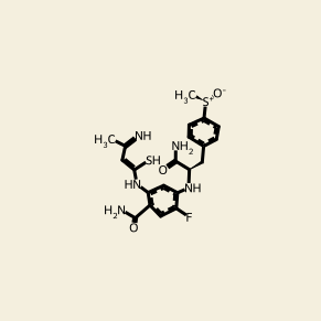 CC(=N)/C=C(\S)Nc1cc(N[C@H](Cc2ccc([S@@+](C)[O-])cc2)C(N)=O)c(F)cc1C(N)=O